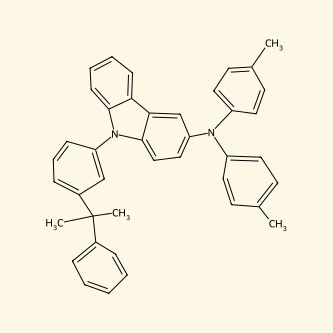 Cc1ccc(N(c2ccc(C)cc2)c2ccc3c(c2)c2ccccc2n3-c2cccc(C(C)(C)c3ccccc3)c2)cc1